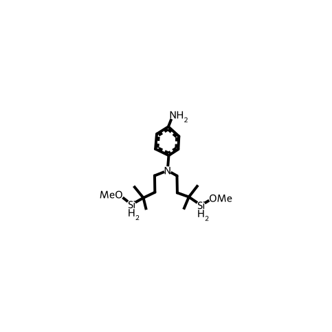 CO[SiH2]C(C)(C)CCN(CCC(C)(C)[SiH2]OC)c1ccc(N)cc1